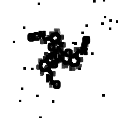 O=C=NCC1CCCC(Cn2c(=O)n(CC3CCCC(CN=C=O)C3)c(=O)n(CC3CCCC(CN=C=O)C3)c2=O)C1